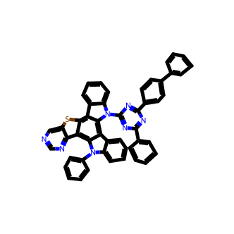 c1ccc(-c2ccc(-c3nc(-c4ccccc4)nc(-n4c5ccccc5c5c6sc7cncnc7c6c6c(c7ccccc7n6-c6ccccc6)c54)n3)cc2)cc1